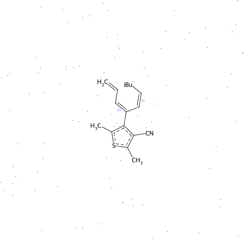 C=C/C=C(\C=C/C(C)CC)c1c(C)sc(C)c1C#N